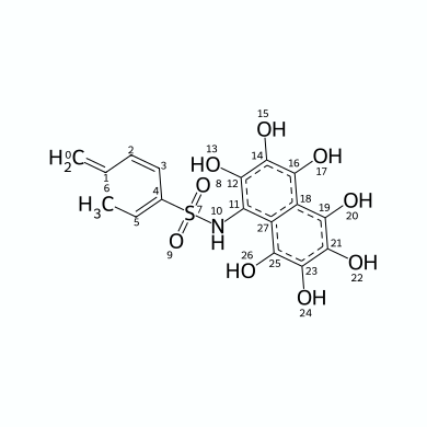 C=C/C=C\C(=C/C)S(=O)(=O)Nc1c(O)c(O)c(O)c2c(O)c(O)c(O)c(O)c12